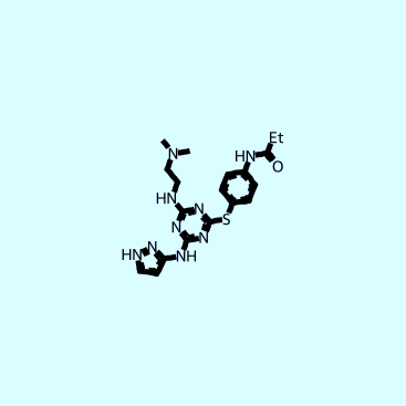 CCC(=O)Nc1ccc(Sc2nc(NCCN(C)C)nc(Nc3cc[nH]n3)n2)cc1